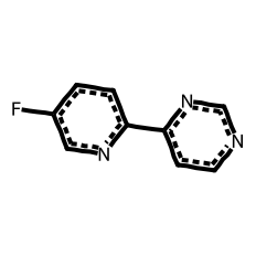 Fc1ccc(-c2ccncn2)nc1